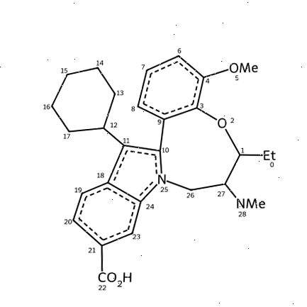 CCC1Oc2c(OC)cccc2-c2c(C3CCCCC3)c3ccc(C(=O)O)cc3n2CC1NC